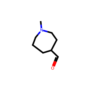 CN1CCCC(C=O)CC1